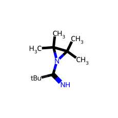 CC(C)(C)C(=N)N1C(C)(C)C1(C)C